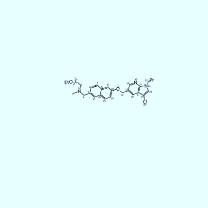 CCOC(=O)CN(C)Cc1ccc2cc(OCc3cnc4c(c3)c(Cl)cn4C(C)C)ccc2c1